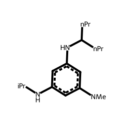 CCCC(CCC)Nc1cc(NC)cc(NC(C)C)c1